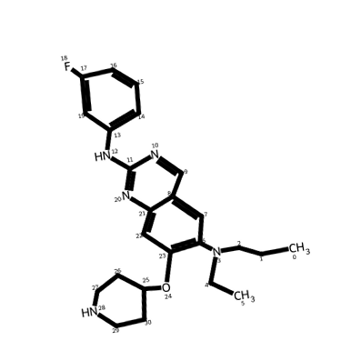 CCCN(CC)c1cc2cnc(Nc3cccc(F)c3)nc2cc1OC1CCNCC1